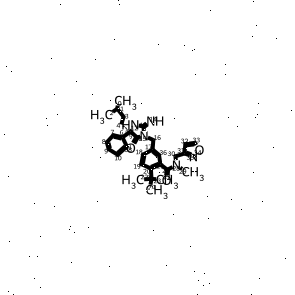 CC(C)CC[C@]1(c2ccccc2)NC(=N)N(Cc2ccc(C(C)(C)C)c(C(=O)N(C)Cc3ccon3)c2)C1=O